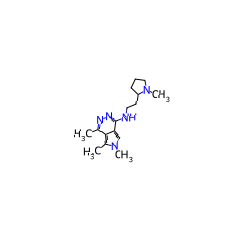 Cc1nnc(NCCC2CCCN2C)c2cn(C)c(C)c12